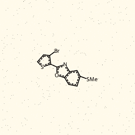 CSc1ccc2oc(-c3sccc3Br)nc2c1